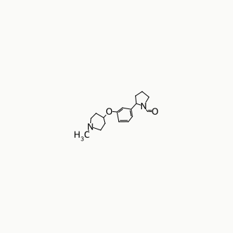 CN1CCC(Oc2cccc(C3CCCN3C=O)c2)CC1